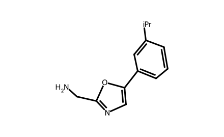 CC(C)c1cccc(-c2cnc(CN)o2)c1